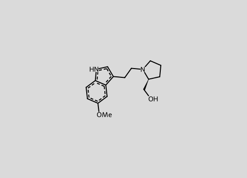 COc1ccc2[nH]cc(CCN3CCC[C@H]3CO)c2c1